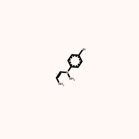 CC(C)c1ccc(N(N)/C=C\N)cc1